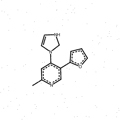 Cc1cc(N2C=CNC2)c(-c2ccco2)cn1